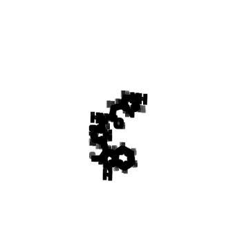 Cc1[nH]c2ccccc2c1-c1csc(NC(=O)Cc2c[nH]cn2)n1